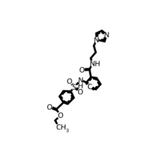 CCOC(=O)c1ccc(S(=O)(=O)Nc2ccccc2C(=O)NCCCn2ccnc2)cc1